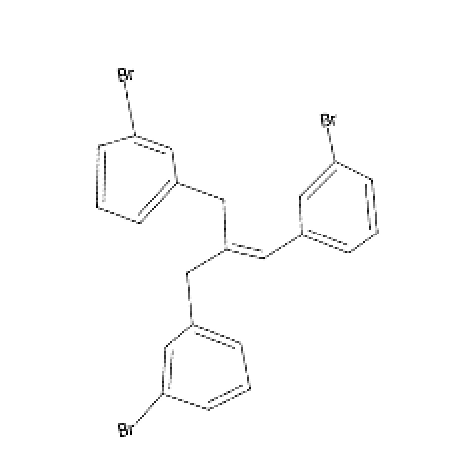 Brc1cccc(C=C(Cc2cccc(Br)c2)Cc2cccc(Br)c2)c1